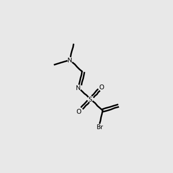 C=C(Br)S(=O)(=O)N=CN(C)C